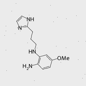 COc1ccc(N)c(NCCCC2=[N+]C=CN2)c1